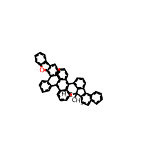 CC1(C)c2ccc3ccccc3c2-c2cccc(-c3c4ccccc4c(-c4ccccc4-c4cccc5c4oc4ccccc45)c4ccccc34)c21